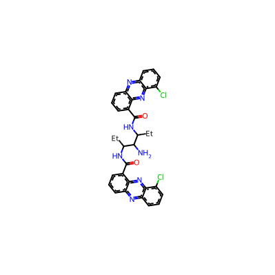 CCC(NC(=O)c1cccc2nc3cccc(Cl)c3nc12)C(N)C(CC)NC(=O)c1cccc2nc3cccc(Cl)c3nc12